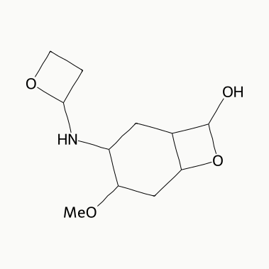 COC1CC2OC(O)C2CC1NC1CCO1